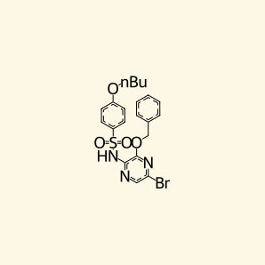 CCCCOc1ccc(S(=O)(=O)Nc2ncc(Br)nc2OCc2ccccc2)cc1